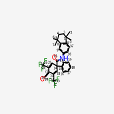 CC1(C)CCC(C)(C)c2cc(NC(=O)C3(c4ccccc4)C=C(C(F)(F)F)C(=C=O)C(C(F)(F)F)=C3)ccc21